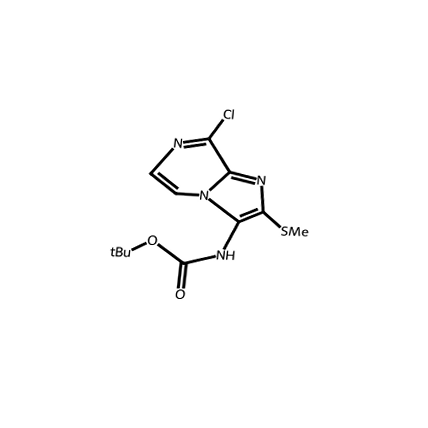 CSc1nc2c(Cl)nccn2c1NC(=O)OC(C)(C)C